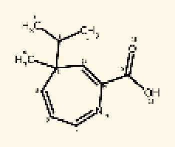 CC(C)C1(C)C=CC=NC(C(=O)O)=C1